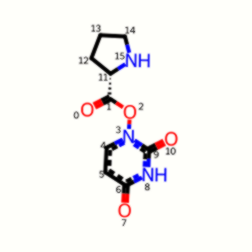 O=C(On1ccc(=O)[nH]c1=O)[C@@H]1CCCN1